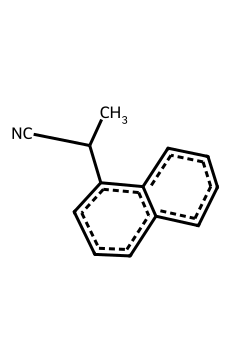 CC(C#N)c1cccc2ccccc12